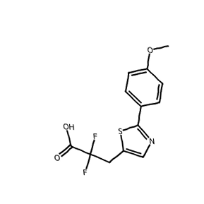 COc1ccc(-c2ncc(CC(F)(F)C(=O)O)s2)cc1